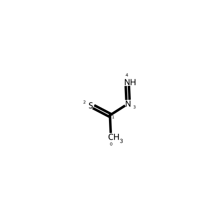 CC(=S)N=N